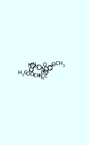 CCOc1ccc2c(c1)c(=O)n(C1CCN(c3ncnc4cc(OC)c(OC)cc34)CC1)c(=O)n2CC